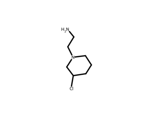 NCCN1CCCC(Cl)C1